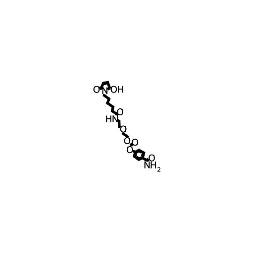 NC(=O)c1ccc(OC(=O)OCCOCCNC(=O)CCCCCN2C(=O)C=CC2O)cc1